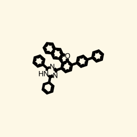 C1=CCC(C2=NC(c3ccc(-c4ccc(-c5ccccc5)cc4)c4oc5cc6ccccc6cc5c34)=NC(c3ccccc3)N2)C=C1